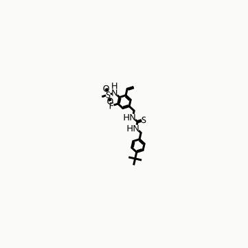 C=Cc1cc(CNC(=S)NCc2ccc(C(C)(C)C)cc2)cc(F)c1NS(C)(=O)=O